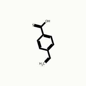 C=Cc1ccc(C(O)=S)cc1